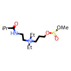 CC[N+](CC)(CCCOS(=O)OC)CCNC(=O)C(C)C